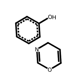 C1=COC=NC1.Oc1ccccc1